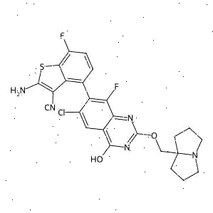 N#Cc1c(N)sc2c(F)ccc(-c3c(Cl)cc4c(O)nc(OCC56CCCN5CCC6)nc4c3F)c12